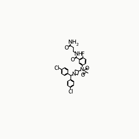 CS(=O)(=O)N(c1ccc(F)c(C(=O)NCCC(N)=O)c1)C1CN(C(c2ccc(Cl)cc2)c2ccc(Cl)cc2)C1